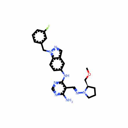 COC[C@H]1CCCN1/N=C/c1c(N)ncnc1Nc1ccc2c(cnn2Cc2cccc(F)c2)c1